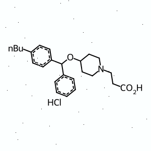 CCCCc1ccc(C(OC2CCN(CCC(=O)O)CC2)c2ccccc2)cc1.Cl